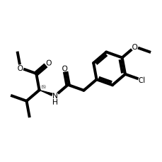 COC(=O)[C@@H](NC(=O)Cc1ccc(OC)c(Cl)c1)C(C)C